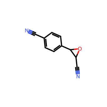 N#Cc1ccc(C2OC2C#N)cc1